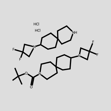 CC(C)(C)OC(=O)N1CCC2(CCC(N3CC(F)(F)C3)CC2)CC1.Cl.Cl.FC1(F)CN(C2CCC3(CCNCC3)CC2)C1